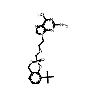 CC(C)(C)c1cccc2c1OP(=O)(COCCn1cnc3c(O)nc(N)nc31)OC2